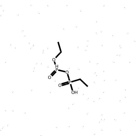 CCO[PH](=O)OP(=O)(O)CC